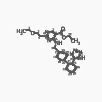 CCOCCc1ncc(C(=O)OCC)c(NCc2ccc(-c3ccccc3-c3nnn[nH]3)cc2)n1